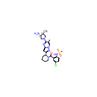 Cc1cn2nc([C@@H]3CCCCN3C(=O)c3cc(Cl)ccc3NS(C)(=O)=O)cc2nc1N1C[C@H](N)[C@@H](C#N)C1